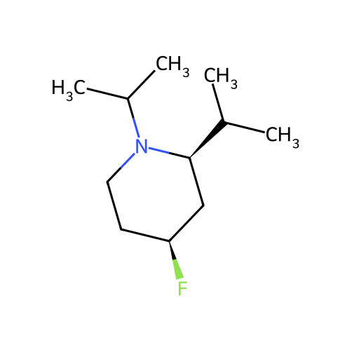 CC(C)[C@H]1C[C@@H](F)CCN1C(C)C